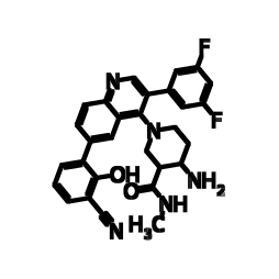 CNC(=O)C1CN(c2c(-c3cc(F)cc(F)c3)cnc3ccc(-c4cccc(C#N)c4O)cc23)CCC1N